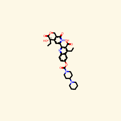 CCc1c(C(=O)O)c(-c2cc3c(c(=O)[nH]2)COC(=O)[C@]3(O)CC)nc2ccc(OC(=O)N3CCC(N4CCCCC4)CC3)cc12